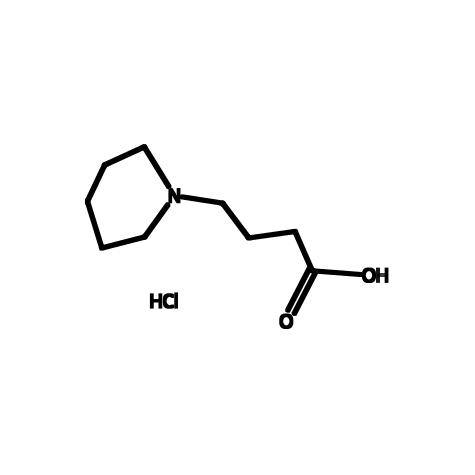 Cl.O=C(O)CCCN1CCCCC1